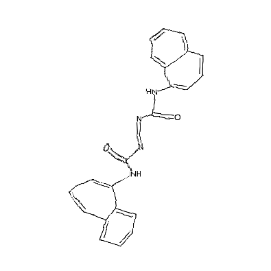 O=C(N=NC(=O)Nc1cccc2ccccc12)Nc1cccc2ccccc12